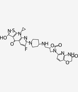 O=C1COc2ccc(N3CC(CNC4CCN(c5nc6c(cc5F)c(=O)c5c(O)nsc5n6C5CC5)CC4)OC3=O)nc2N1